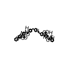 O=C(Nc1cnc(N2CCC(N3CCCCC3)CC2)c(C(=O)O)c1)c1ccc(CC2CCN(CCC3CCN(c4ncc(NC(=O)c5ccccc5F)cc4C(=O)O)CC3)CC2)cc1